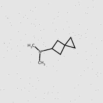 CN(C)C1CC2(CC2)C1